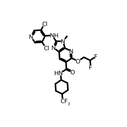 Cn1c(Nc2c(Cl)cncc2Cl)nc2cc(C(=O)NC3CCC(C(F)(F)F)CC3)c(OCC(F)F)nc21